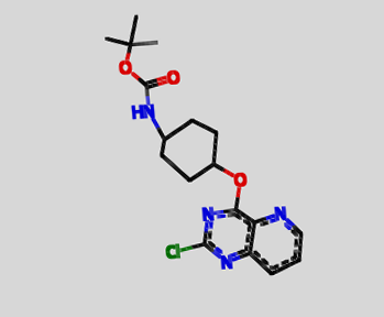 CC(C)(C)OC(=O)NC1CCC(Oc2nc(Cl)nc3cccnc23)CC1